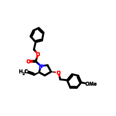 C=C[C@@H]1C[C@@H](OCc2ccc(OC)cc2)CN1C(=O)OCc1ccccc1